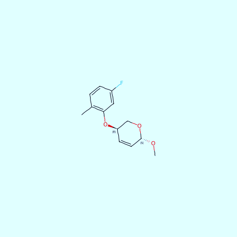 CO[C@@H]1C=C[C@@H](Oc2cc(F)ccc2C)CO1